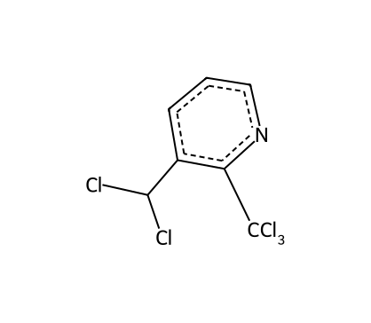 ClC(Cl)c1cccnc1C(Cl)(Cl)Cl